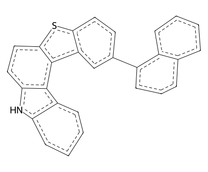 c1ccc2c(-c3ccc4sc5ccc6[nH]c7ccccc7c6c5c4c3)cccc2c1